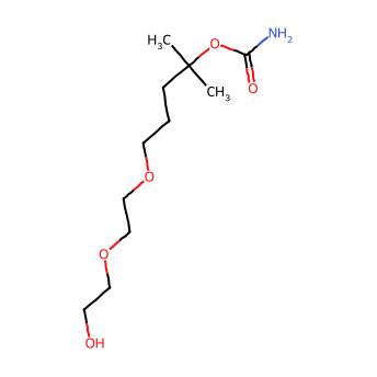 CC(C)(CCCOCCOCCO)OC(N)=O